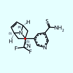 N#C[C@@]1(c2cncc(C(N)=S)c2)C[C@H]2C=C[C@@H](C1)N2CC(F)F